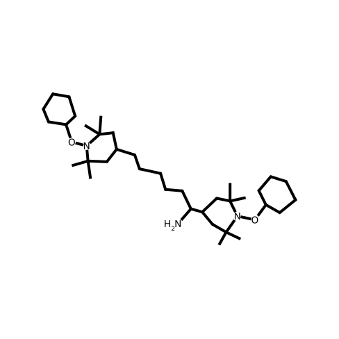 CC1(C)CC(CCCCCC(N)C2CC(C)(C)N(OC3CCCCC3)C(C)(C)C2)CC(C)(C)N1OC1CCCCC1